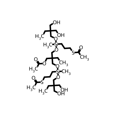 CCC(CO)(CO)CO[Si](C)(CCCSC(C)=O)OCC(CC)(COC(C)=O)CO[Si](C)(CCCSC(C)=O)OCC(CC)(CO)CO